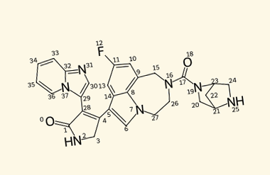 O=C1NCC(c2cn3c4c(cc(F)cc24)CN(C(=O)N2CC4CC2CN4)CC3)=C1c1cnc2ccccn12